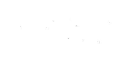 CNc1nc(Nc2cn(C3CCN(C)CC3)nc2C)ncc1C#N